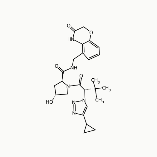 CC(C)(C)[C@@H](C(=O)N1C[C@H](O)C[C@H]1C(=O)NCc1cccc2c1NC(=O)CO2)n1cc(C2CC2)nn1